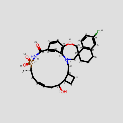 C[C@H]1C/C=C\CC(O)C2CCC2CN2CC3(CCCc4cc(Cl)ccc43)COc3ccc(cc32)C(=O)NS1(=O)=O